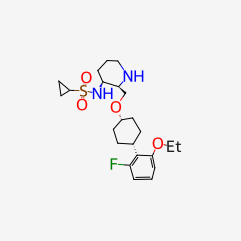 CCOc1cccc(F)c1[C@H]1CC[C@@H](OC[C@@H]2NCCC[C@@H]2NS(=O)(=O)C2CC2)CC1